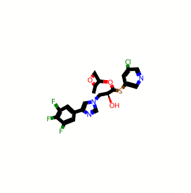 CC1OCC1OC(Sc1cncc(Cl)c1)[C@@H](O)Cn1cnc(-c2cc(F)c(F)c(F)c2)c1